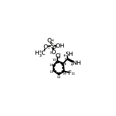 COS(=O)(=O)O.N=C(S)c1c(F)cccc1Cl